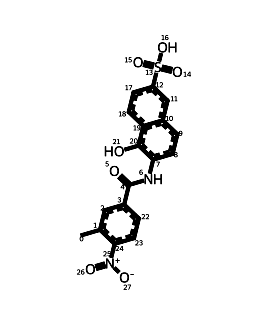 Cc1cc(C(=O)Nc2ccc3cc(S(=O)(=O)O)ccc3c2O)ccc1[N+](=O)[O-]